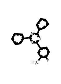 Cc1cc(-c2nc(-c3ccccc3)nc(-c3ccccc3)n2)ccc1F